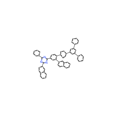 c1ccc(-c2cc(-c3ccccc3)cc(-c3ccc(-c4ccc(-c5nc(-c6ccccc6)nc(-c6ccc7ccccc7c6)n5)cc4-c4ccc5ccccc5c4)cc3)c2)cc1